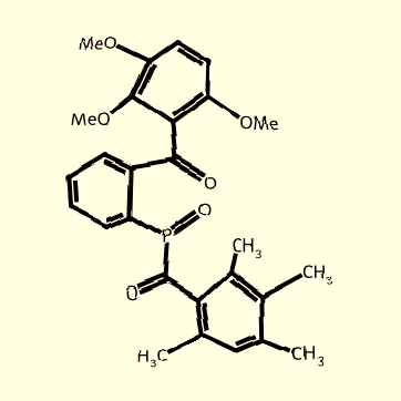 COc1ccc(OC)c(C(=O)c2ccccc2[P](=O)C(=O)c2c(C)cc(C)c(C)c2C)c1OC